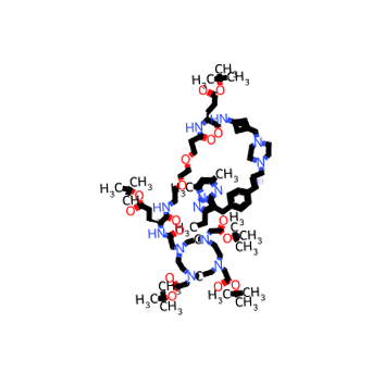 CCc1nn2c(C)cc(C)nc2c1Cc1ccc(/C=C/CN2CCN(CC34CC(NC(=O)[C@H](CCC(=O)OC(C)(C)C)NC(=O)CCOCCOCCNC(=O)[C@H](CCC(=O)OC(C)(C)C)NC(=O)CN5CCN(CC(=O)OC(C)(C)C)CCN(CC(=O)OC(C)(C)C)CCN(CC(=O)OC(C)(C)C)CC5)(C3)C4)CC2)cc1